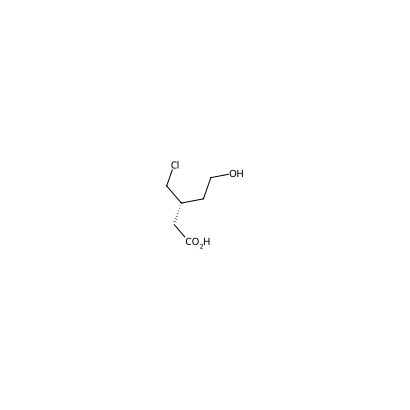 O=C(O)C[C@H](CCl)CCO